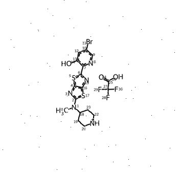 CN(c1nc2sc(-c3ncc(Br)cc3O)nc2s1)C1CCNCC1.O=C(O)C(F)(F)F